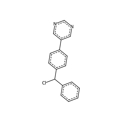 ClC(c1ccccc1)c1ccc(-c2cncnc2)cc1